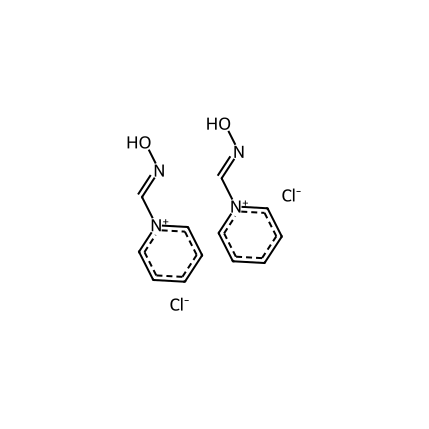 ON=C[n+]1ccccc1.ON=C[n+]1ccccc1.[Cl-].[Cl-]